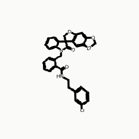 O=C(NCCc1cccc(Cl)c1)c1ccccc1CN1C(=O)C2(COc3cc4c(cc32)OCO4)c2ccccc21